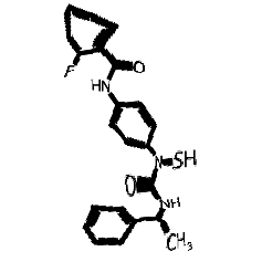 CC(NC(=O)N(S)c1ccc(NC(=O)c2ccccc2F)cc1)c1ccccc1